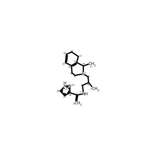 C=C(NCC(C)CN1CCC2=C(CCC=C2)C1C)c1cc[nH]n1